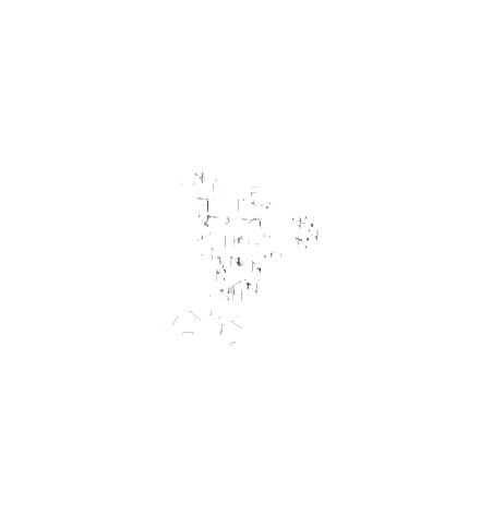 CCn1nnc([C@H]2O[C@@H](n3cnc4c(NCC(c5ccccc5)c5ccccc5)nc(N5CC[C@@H](NC(=O)c6ccncc6)C5)nc43)[C@H](O)[C@@H]2OC(=O)C(F)(F)F)n1